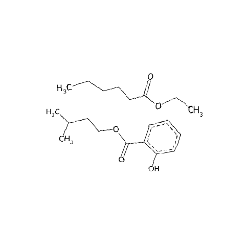 CC(C)CCOC(=O)c1ccccc1O.CCCCCC(=O)OCC